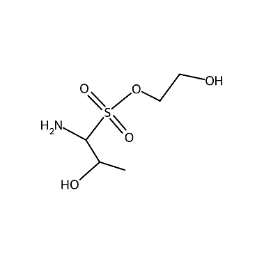 CC(O)C(N)S(=O)(=O)OCCO